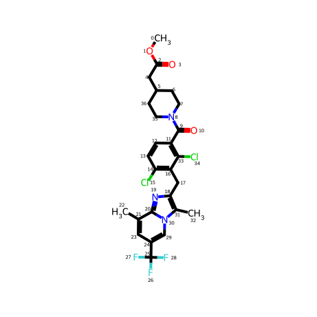 COC(=O)CC1CCN(C(=O)c2ccc(Cl)c(Cc3nc4c(C)cc(C(F)(F)F)cn4c3C)c2Cl)CC1